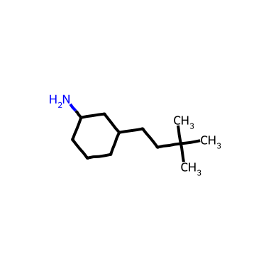 CC(C)(C)CCC1CCCC(N)C1